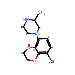 CC1CN(c2ccc(Cl)c3c2OCCO3)CCN1